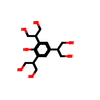 OCC(CO)c1cc(C(CO)CO)c(O)c(C(CO)CO)c1